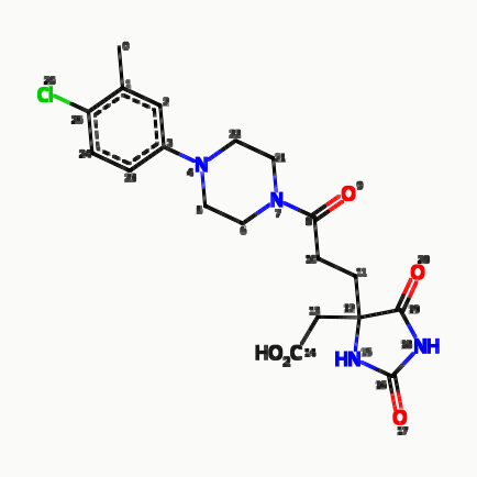 Cc1cc(N2CCN(C(=O)CCC3(CC(=O)O)NC(=O)NC3=O)CC2)ccc1Cl